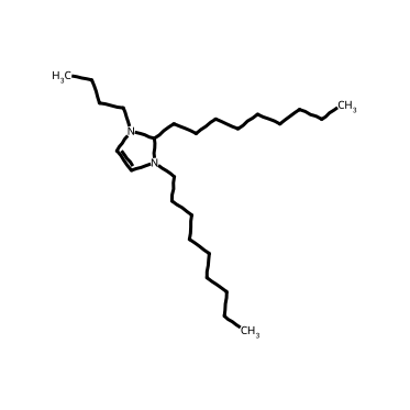 CCCCCCCCCC1N(CCCC)C=CN1CCCCCCCCC